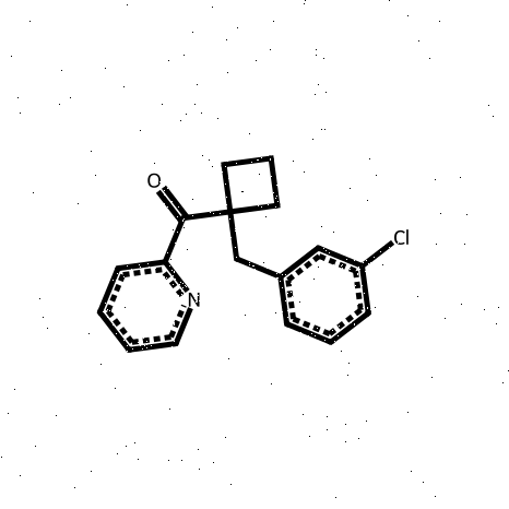 O=C(c1ccccn1)C1(Cc2cccc(Cl)c2)CCC1